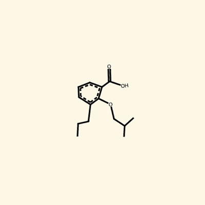 CCCc1cccc(C(=O)O)c1OCC(C)C